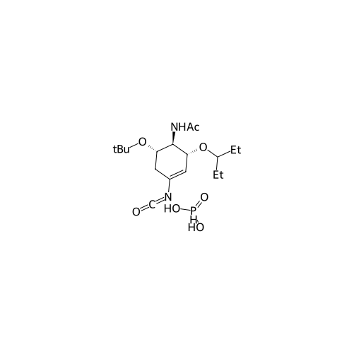 CCC(CC)O[C@@H]1C=C(N=C=O)C[C@H](OC(C)(C)C)[C@H]1NC(C)=O.O=[PH](O)O